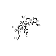 CCCOC(=O)C(C)(C)CCP(=O)(CO[C@H](C)Cn1cnc2c(N)ncnc21)NC(C)(C)c1ccc(Cl)cc1